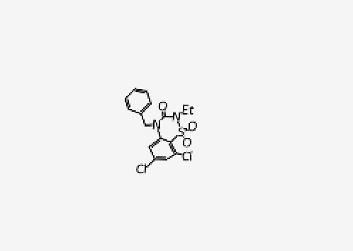 CCN1C(=O)N(Cc2ccccc2)c2cc(Cl)cc(Cl)c2S1(=O)=O